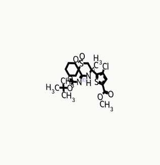 COC(=O)c1cc(Cl)c([C@]2(C)CS(=O)(=O)C3(CCCCC3)/C(=N\C(=O)OC(C)(C)C)N2)s1